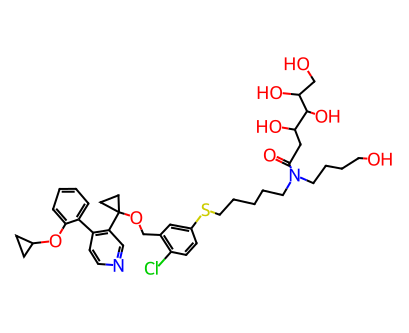 O=C(CC(O)C(O)C(O)CO)N(CCCCO)CCCCCSc1ccc(Cl)c(COC2(c3cnccc3-c3ccccc3OC3CC3)CC2)c1